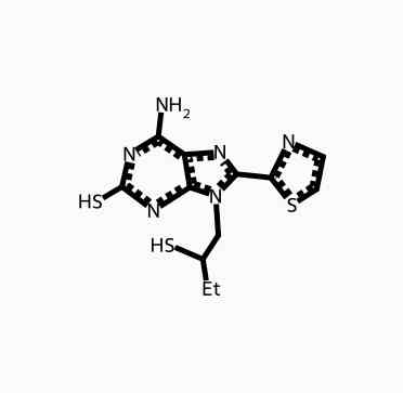 CCC(S)Cn1c(-c2nccs2)nc2c(N)nc(S)nc21